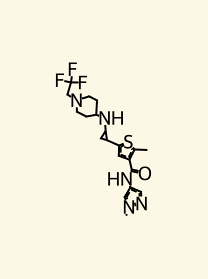 Cc1sc(C2CC2NC2CCN(CC(F)(F)F)CC2)cc1C(=O)Nc1cnn(C)c1